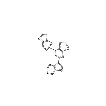 [c]1c(-c2csc3ccccc23)nc2ccccc2c1-c1ccc2occc2c1